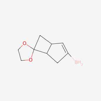 BC1=CC2CC3(OCCO3)C2C1